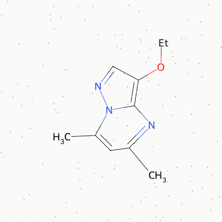 CCOc1cnn2c(C)cc(C)nc12